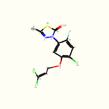 CC(C)(C)c1nn(-c2cc(OCC=C(Cl)Cl)c(Cl)cc2F)c(=O)s1